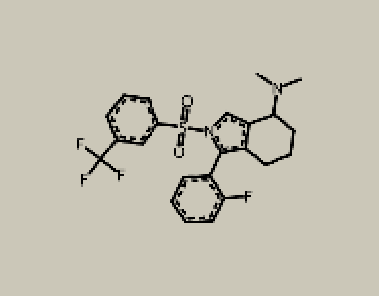 CN(C)C1CCCc2c1cn(S(=O)(=O)c1cccc(C(F)(F)F)c1)c2-c1ccccc1F